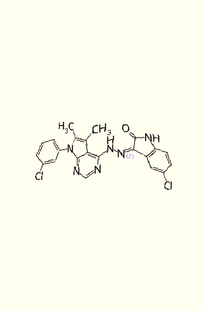 Cc1c(C)n(-c2cccc(Cl)c2)c2ncnc(N/N=C3\C(=O)Nc4ccc(Cl)cc43)c12